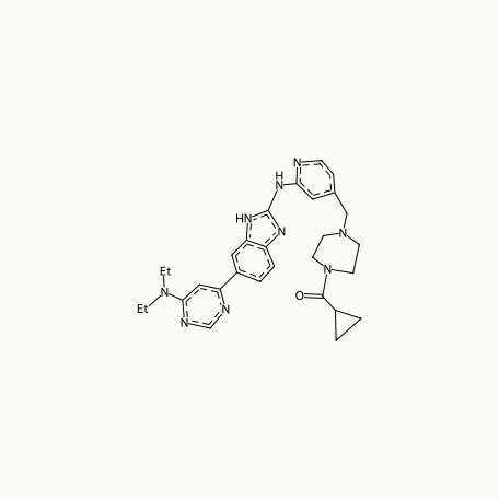 CCN(CC)c1cc(-c2ccc3nc(Nc4cc(CN5CCN(C(=O)C6CC6)CC5)ccn4)[nH]c3c2)ncn1